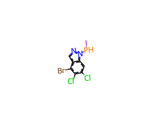 Clc1cc2c(cnn2PI)c(Br)c1Cl